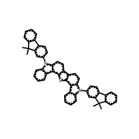 CC1(C)c2ccccc2-c2ccc(-n3c4ccccc4c4c5sc6c(ccc7c6c6ccccc6n7-c6ccc7c(c6)C(C)(C)c6ccccc6-7)c5ccc43)cc21